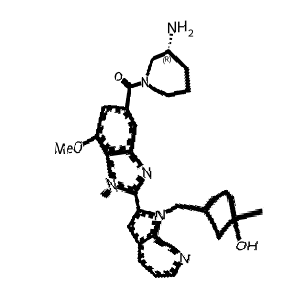 COc1cc(C(=O)N2CCC[C@@H](N)C2)cc2nc(-c3cc4cccnc4n3CC3CC(C)(O)C3)n(C)c12